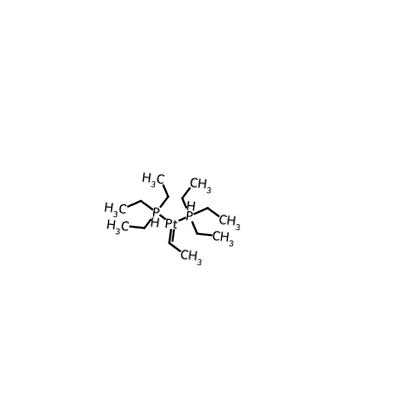 C[CH]=[Pt]([PH](CC)(CC)CC)[PH](CC)(CC)CC